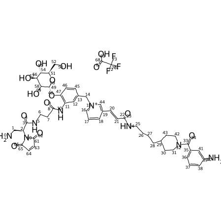 NC[C@@H](C(=O)NCCC(=O)Nc1cc(C[n+]2cccc(/C=C/C(=O)NCCCCC3CCN(C(=O)c4cccc(N)c4)CC3)c2)ccc1O[C@H]1O[C@H](CO)[C@@H](O)[C@H](O)[C@@H]1O)N1C(=O)C=CC1=O.O=C(O)C(F)(F)F